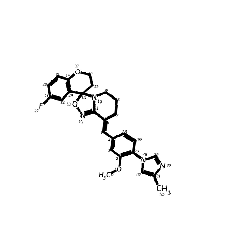 COc1cc(C=C2CCCN3C2=NOC32CCOc3ccc(F)cc32)ccc1-n1cnc(C)c1